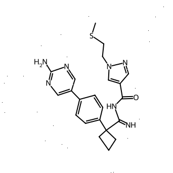 CSCCn1cc(C(=O)NC(=N)C2(c3ccc(-c4cnc(N)nc4)cc3)CCC2)cn1